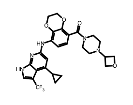 O=C(c1ccc(Nc2cc(C3CC3)c3c(C(F)(F)F)c[nH]c3n2)c2c1OCCO2)N1CCN(C2COC2)CC1